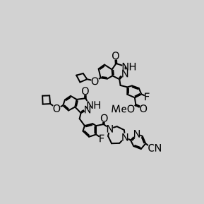 COC(=O)c1cc(Cc2n[nH]c(=O)c3ccc(OC4CCC4)cc23)ccc1F.N#Cc1ccc(N2CCCN(C(=O)c3cc(Cc4n[nH]c(=O)c5ccc(OC6CCC6)cc45)ccc3F)CC2)nc1